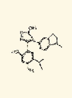 CC(C)c1cc(-c2nnc(O)n2-c2ccc3c(c2)CCN3C)c(O)cc1O